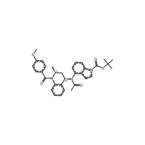 COc1ccc(C(=O)N2c3ccccc3[C@H](N(C(C)=O)c3cccc4c3ccn4C(=O)OC(C)(C)C)C[C@@H]2C)cc1